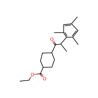 CCOC(=O)C1CCC(C(=O)C(C)c2c(C)cc(C)cc2C)CC1